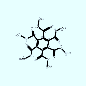 CCCCCCCCOC(=O)c1c(C(=O)OCCCCCCCC)c(C(=O)OCCCCCCCC)c(C(=O)OCCCCCCCC)c(C(=O)OCCCCCCCC)c1C(=O)OCCCCCCCC